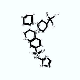 O=S(=O)(Nc1ncns1)c1ccc2c(c1)OCC[C@@H]2N1CCC(C(F)(F)F)C[C@H]1c1ccccc1